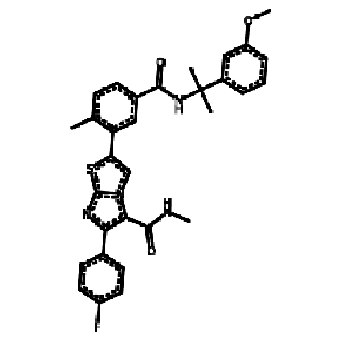 CNC(=O)c1c(-c2ccc(F)cc2)nc2sc(-c3cc(C(=O)NC(C)(C)c4cccc(OC)c4)ccc3C)cn12